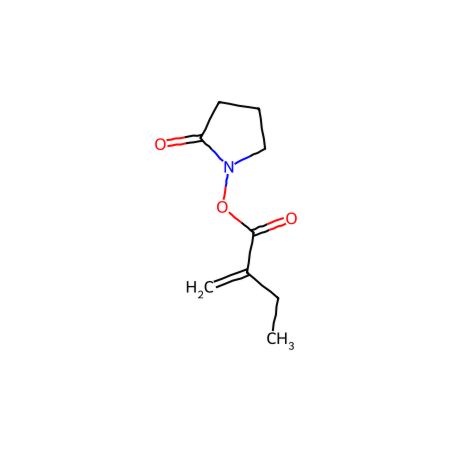 C=C(CC)C(=O)ON1CCCC1=O